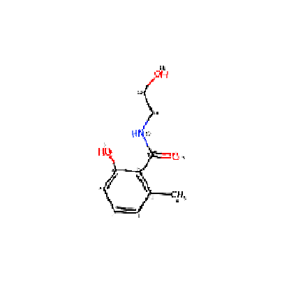 Cc1cccc(O)c1C(=O)NCCO